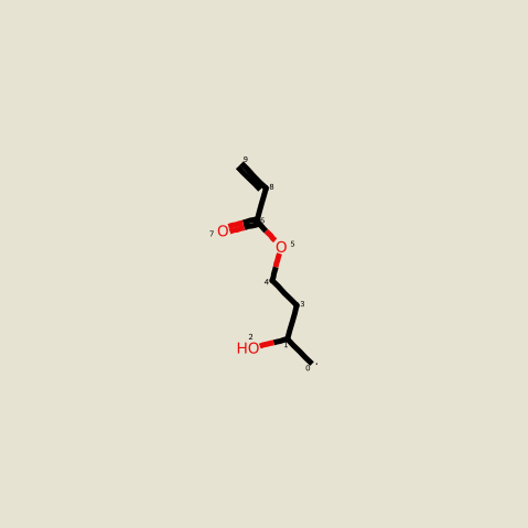 [CH2]C(O)CCOC(=O)C=C